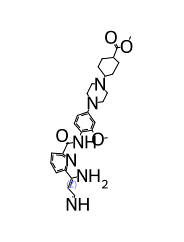 COC(=O)C1CCC(N2CCN(c3ccc(NC(=O)c4cccc(/C(N)=C/C=N)n4)c(OC)c3)CC2)CC1